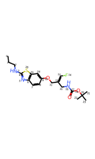 CCCNc1nc2ccc(OCC(=CF)CNC(=O)OC(C)(C)C)cc2s1